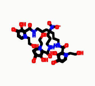 O=C(NCCCC(CCCNC(=O)c1c(O)c(=O)ccn1CCO)(CCCNC(=O)c1c(O)c(=O)ccn1CCO)[N+](=O)[O-])c1c(O)c(=O)ccn1CCO